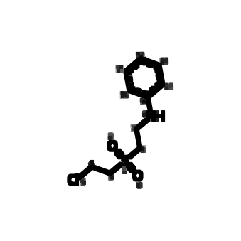 O=S(=O)(CCCl)CCNc1cc[c]cc1